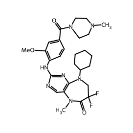 COc1cc(C(=O)N2CCN(C)CC2)ccc1Nc1ncc2c(n1)N(C1CCCCC1)CC(F)(F)C(=O)N2C